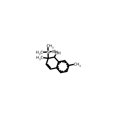 Cc1ccc2c(c1)C(O)C(C)([Si](C)(C)C(C)(C)C)C=C2